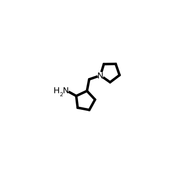 NC1CCCC1CN1CCCC1